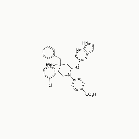 COC1(Cc2ccccc2-c2ccc(Cl)cc2)CCN(c2ccc(C(=O)O)cc2)C(Oc2cnc3[nH]ccc3c2)C1